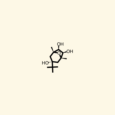 CC(C)(C)[C@@]1(O)C[C@@]2(C)O[C@@](C)(C1)[C@H](O)[C@@H]2O